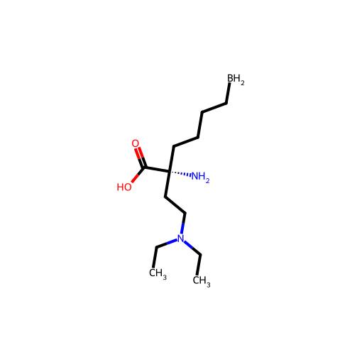 BCCCC[C@@](N)(CCN(CC)CC)C(=O)O